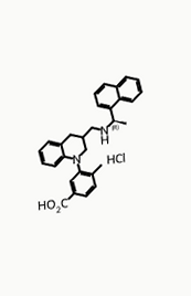 Cc1ccc(C(=O)O)cc1N1CC(CN[C@H](C)c2cccc3ccccc23)Cc2ccccc21.Cl